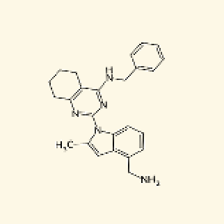 Cc1cc2c(CN)cccc2n1-c1nc2c(c(NCc3ccccc3)n1)CCCC2